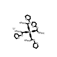 CCCCCC(C#[C][Al-]([C]#CC(CCCCC)OC1CCCCO1)([C]#CC(CCCCC)OC1CCCCO1)[C]#CC(CCCCC)OC1CCCCO1)OC1CCCCO1.[Li+]